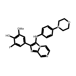 COc1cc(-c2nc3cnccn3c2Nc2ccc(N3CCOCC3)cc2)cc(F)c1O